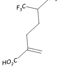 C=C(CCC(C(F)(F)F)C(F)(F)F)C(=O)O